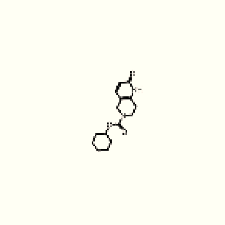 O=C(OC1CCCCC1)N1CCc2[nH]c(=O)ccc2C1